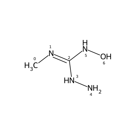 C/N=C(\NN)NO